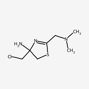 CN(C)CC1=NC(N)(CCl)CS1